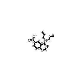 C=CCN(CC=C)c1ncnc2ccc([N+](=O)[O-])cc12